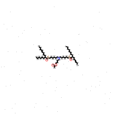 CCCCCCCCC(CCCCCC)C(=O)SCCCCCCN(CCCCCCSC(=O)C(CCCCCC)CCCCCCCC)CCCCOC(C)=O